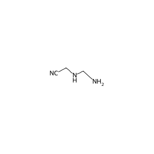 N#CCNCN